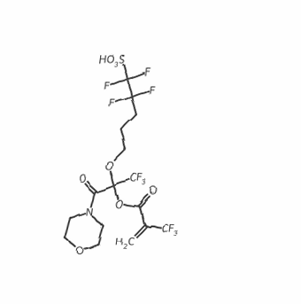 C=C(C(=O)OC(OCCCC(F)(F)C(F)(F)S(=O)(=O)O)(C(=O)N1CCOCC1)C(F)(F)F)C(F)(F)F